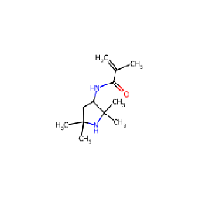 C=C(C)C(=O)NC1CC(C)(C)NC1(C)C